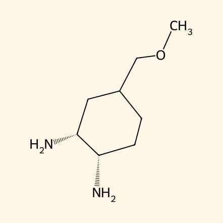 COCC1CC[C@H](N)[C@H](N)C1